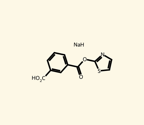 O=C(O)c1cccc(C(=O)Oc2nccs2)c1.[NaH]